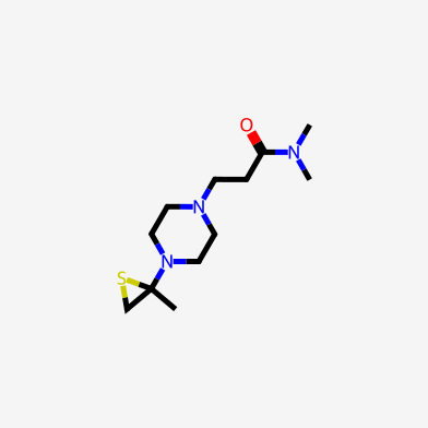 CN(C)C(=O)CCN1CCN(C2(C)CS2)CC1